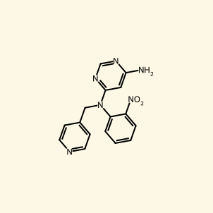 Nc1cc(N(Cc2ccncc2)c2ccccc2[N+](=O)[O-])ncn1